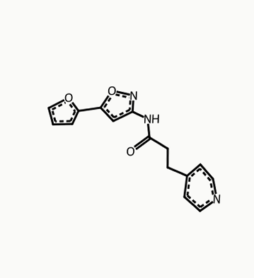 O=C(CCc1ccncc1)Nc1cc(-c2ccco2)on1